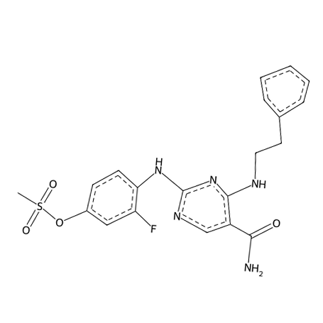 CS(=O)(=O)Oc1ccc(Nc2ncc(C(N)=O)c(NCCc3ccccc3)n2)c(F)c1